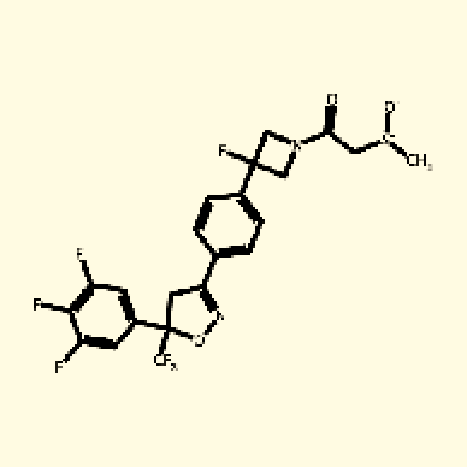 C[S+]([O-])CC(=O)N1CC(F)(c2ccc(C3=NOC(c4cc(F)c(F)c(F)c4)(C(F)(F)F)C3)cc2)C1